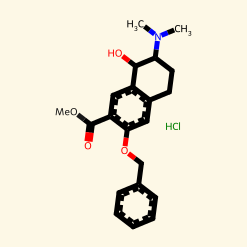 COC(=O)c1cc2c(cc1OCc1ccccc1)CCC(N(C)C)C2O.Cl